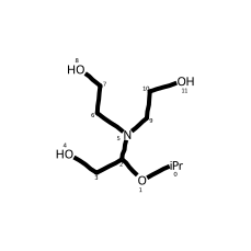 CC(C)OC(CO)N(CCO)CCO